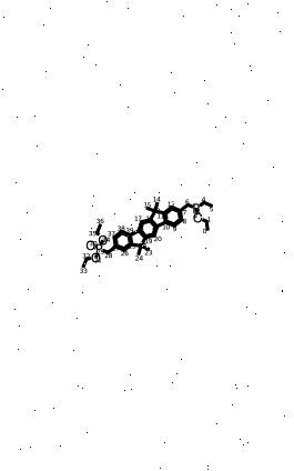 CCOP(CC)Cc1ccc2c(c1)C(C)(C)c1cc3c(cc1-2)C(C)(C)c1cc(CP(=O)(OCC)OCC)ccc1-3